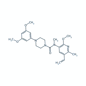 C=Cc1cc(N(C)C(=O)N2CCN(c3cc(OC)cc(OC)c3)CC2)c(OC)nc1C